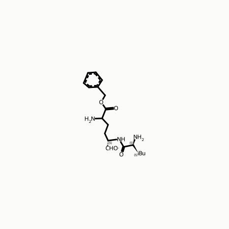 CC[C@H](C)[C@H](N)C(=O)N[C@H]([C]=O)CCC(N)C(=O)OCc1ccccc1